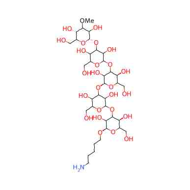 COC1C(O)[C@H](OC2C(O)C(CO)OC(OC3C(O)[C@H](OC4C(O)C(CO)OC(OC5C(O)[C@H](OCCCCCN)OC(CO)[C@@H]5O)C4O)OC(CO)[C@@H]3O)C2O)OC(CO)[C@@H]1O